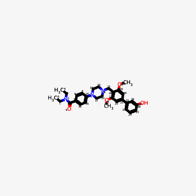 CCN(CC)C(=O)c1ccc(N2CCN(Cc3c(OC)cc(-c4cccc(O)c4)cc3OC)CC2)cc1